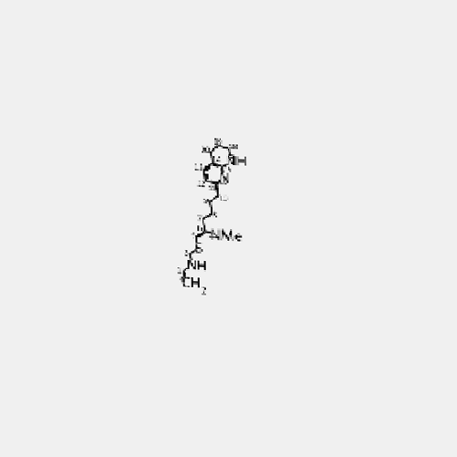 C=CNCS/C=C(/CCCCc1ccc2c(n1)NCCC2)NC